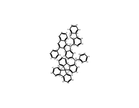 c1ccc(-c2cc3ccccc3c3c2c2ccc(N(c4ccccc4)c4cccc5c4-c4ccccc4C54c5ccccc5-c5ccccc54)cc2n3-c2cccc3c2sc2ccccc23)cc1